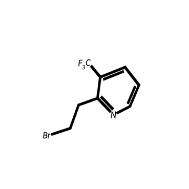 FC(F)(F)c1cccnc1CCBr